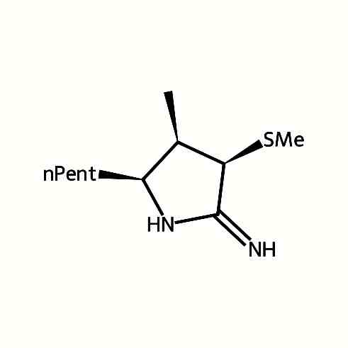 CCCCC[C@@H]1NC(=N)[C@H](SC)[C@@H]1C